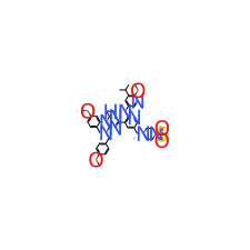 COc1ccc(CN(Cc2ccc(OC)cc2)c2nc(C)nc(-c3cc([C@@H](C)N4CCN(S(C)(=O)=O)CC4)cnc3Nc3cnc(OC)c(C(C)C)c3)n2)cc1